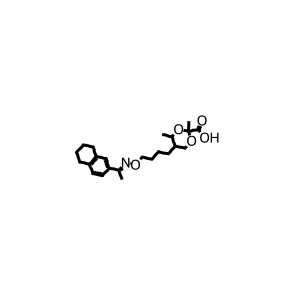 CC(=NOCCCCC1COC(C)(C(=O)O)OC1C)c1ccc2c(c1)CCCC2